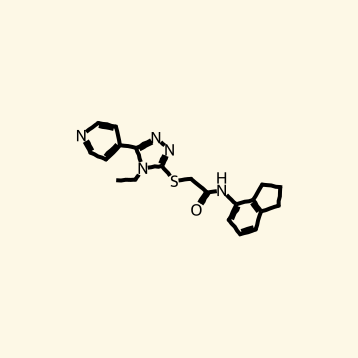 CCn1c(SCC(=O)Nc2cccc3c2CCC3)nnc1-c1ccncc1